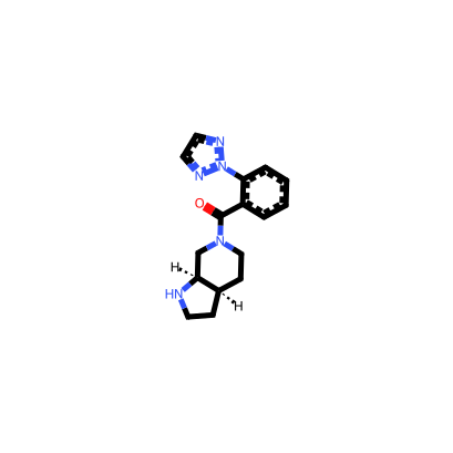 O=C(c1ccccc1-n1nccn1)N1CC[C@H]2CCN[C@H]2C1